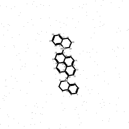 c1ccc2c(c1)CCCN2c1ccc2ccc3c(N4CCCc5ccccc54)ccc4ccc1c2c43